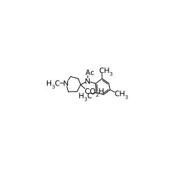 CC(=O)N(c1c(C)cc(C)cc1C)C1(C(=O)O)CCN(C)CC1